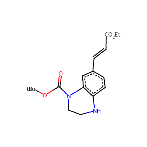 CCOC(=O)/C=C/c1ccc2c(c1)N(C(=O)OC(C)(C)C)CCN2